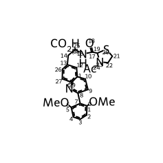 COc1cccc(OC)c1-c1ccc2cc(C[C@H](NC(=O)C3SCCN3C(C)=O)C(=O)O)ccc2n1